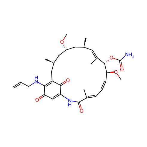 C=CCNC1=C2C[C@@H](C)C[C@H](OC)C[C@@H](C)/C=C(\C)[C@H](OC(N)=O)[C@@H](OC)/C=C\C=C(/C)C(=O)NC(=CC1=O)C2=O